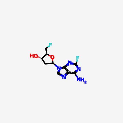 Nc1nc(F)nc2c1ncn2[C@H]1C[C@H](O)[C@@H](CF)O1